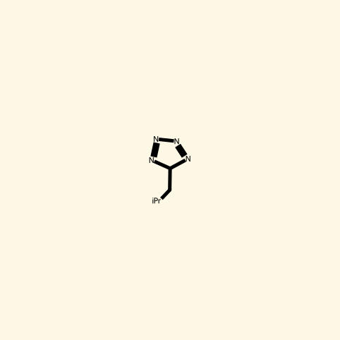 CC(C)CC1N=NN=N1